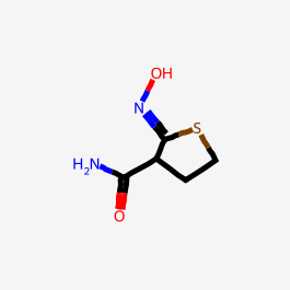 NC(=O)C1CCSC1=NO